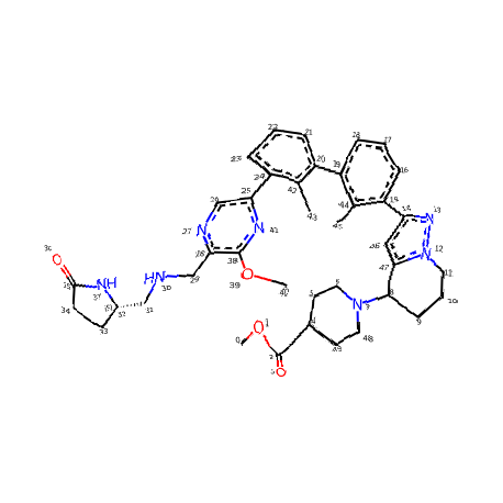 COC(=O)C1CCN(C2CCCn3nc(-c4cccc(-c5cccc(-c6cnc(CNC[C@@H]7CCC(=O)N7)c(OC)n6)c5C)c4C)cc32)CC1